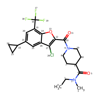 CCN(C)C(=O)C1CCN(C(=O)c2oc3c(C(F)(F)F)cc(C4CC4)cc3c2Cl)CC1